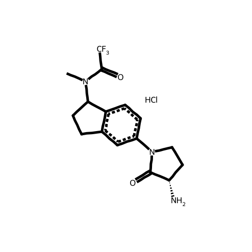 CN(C(=O)C(F)(F)F)C1CCc2cc(N3CC[C@H](N)C3=O)ccc21.Cl